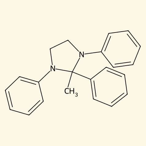 CC1(c2ccccc2)N(c2ccccc2)CCN1c1ccccc1